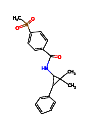 CC1(C)C(NC(=O)c2ccc(S(C)(=O)=O)cc2)C1c1ccccc1